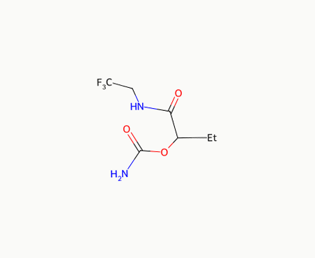 CCC(OC(N)=O)C(=O)NCC(F)(F)F